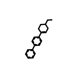 CCC1CC=C(c2ccc(-c3ccccc3)cc2)CC1